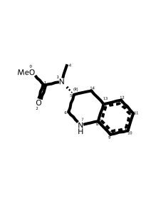 COC(=O)N(C)[C@H]1CNc2ccccc2C1